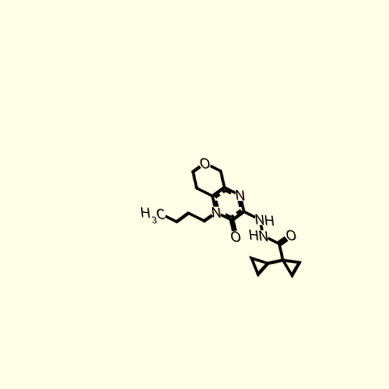 CCCCn1c2c(nc(NNC(=O)C3(C4CC4)CC3)c1=O)COCC2